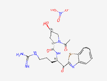 CC(=O)N1C[C@H](O)C[C@H]1C(=O)N[C@H](CCCNC(=N)N)C(=O)c1nc2ccccc2s1.O=[N+]([O-])O